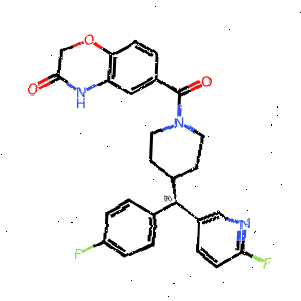 O=C1COc2ccc(C(=O)N3CCC([C@H](c4ccc(F)cc4)c4ccc(F)nc4)CC3)cc2N1